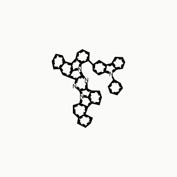 c1ccc(-n2c3ccccc3c3cc(-c4cccc5c6c7ccccc7cc7c8nc9c(nc8n(c45)c76)c4cccc5c6c7ccccc7ccc6n9c45)ccc32)cc1